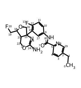 CCc1ccc(C(=O)Nc2ccc(F)c(C34COC(CF)C3COC(N)=N4)c2)nc1